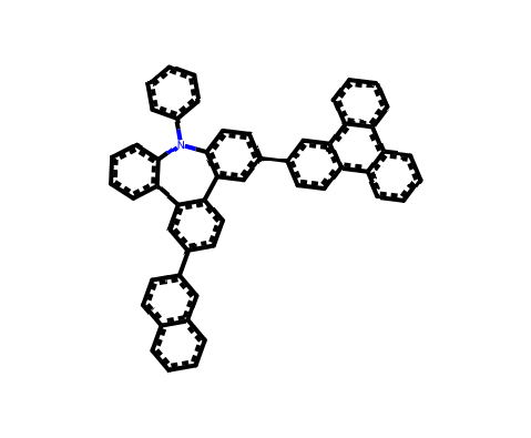 c1ccc(N2c3ccccc3-c3cc(-c4ccc5ccccc5c4)ccc3-c3cc(-c4ccc5c6ccccc6c6ccccc6c5c4)ccc32)cc1